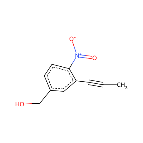 CC#Cc1cc(CO)ccc1[N+](=O)[O-]